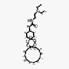 CCN(CC)CCNC(=O)CC1CCC2(CC1)OOC1(CCCCCCCCCCC1)OO2